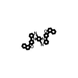 N#Cc1cc(-n2c3ccccc3c3cc4c(cc32)oc2ccc3ccccc3c24)c(C#N)cc1-n1c2ccccc2c2cc3c(cc21)oc1ccc2ccccc2c13